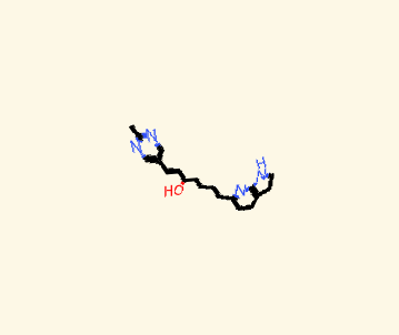 Cc1ncc(C=CC(O)CCCCc2ccc3c(n2)NCC3)cn1